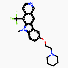 Cn1c2ccc(OCCN3CCCCC3)cc2c2cc3cnccc3c(C(F)(F)F)c21